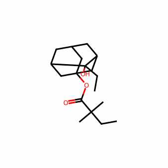 CCC(C)(C)C(=O)OC12CC3CC(C1)C(O)(CC)C(C3)C2